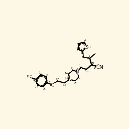 CC(Cc1cccs1)C(C#N)CCN1CCN(CCOc2ccc(F)cc2)CC1